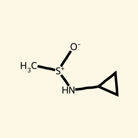 C[S+]([O-])NC1CC1